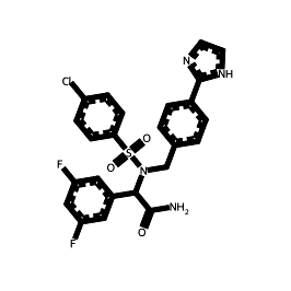 NC(=O)C(c1cc(F)cc(F)c1)N(Cc1ccc(-c2ncc[nH]2)cc1)S(=O)(=O)c1ccc(Cl)cc1